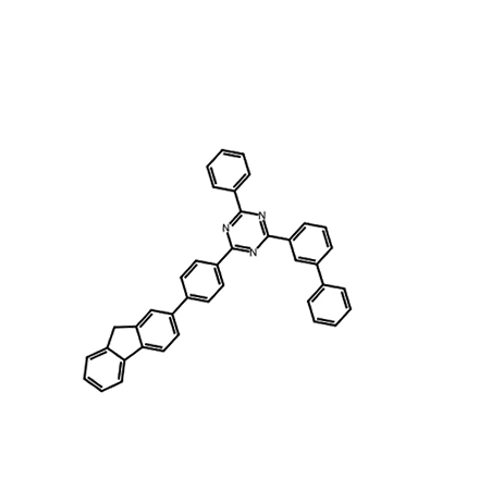 c1ccc(-c2cccc(-c3nc(-c4ccccc4)nc(-c4ccc(-c5ccc6c(c5)Cc5ccccc5-6)cc4)n3)c2)cc1